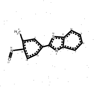 Cc1cc(-c2nc3ccccc3s2)ccc1N=O